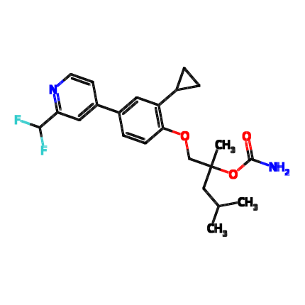 CC(C)CC(C)(COc1ccc(-c2ccnc(C(F)F)c2)cc1C1CC1)OC(N)=O